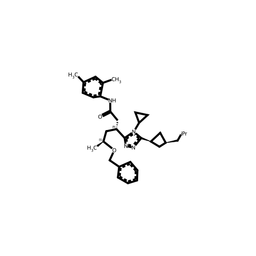 Cc1ccc(NC(=O)C[C@@H](C[C@H](C)OCc2ccccc2)c2nnc([C@H]3C[C@@H](CC(C)C)C3)n2C2CC2)c(C)c1